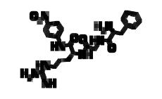 N=C(N)NCCC[C@H](NC(=O)CNC(=O)[C@@H](N)Cc1ccccc1)C(=O)Nc1ccc([N+](=O)[O-])cc1